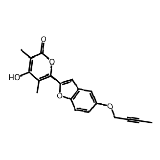 CC#CCOc1ccc2oc(-c3oc(=O)c(C)c(O)c3C)cc2c1